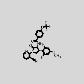 COc1cc(F)c([C@@H]2CN(c3ncccc3C#N)C(=O)[C@H]2NC(=O)c2ccc(OC(F)(F)F)cc2)c(F)c1